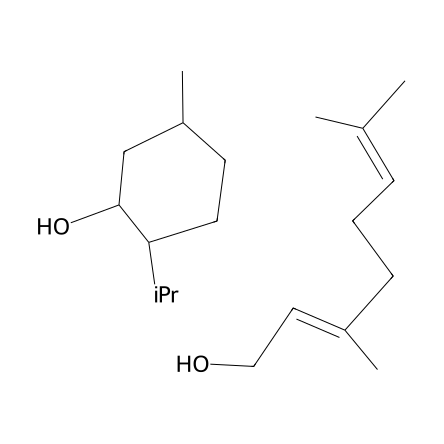 CC(C)=CCCC(C)=CCO.CC1CCC(C(C)C)C(O)C1